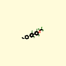 CC[C@H]1CC[C@H](c2cc(F)c(-c3cc(F)c(OC(F)=C(F)F)c(F)c3)c(F)c2)CC1